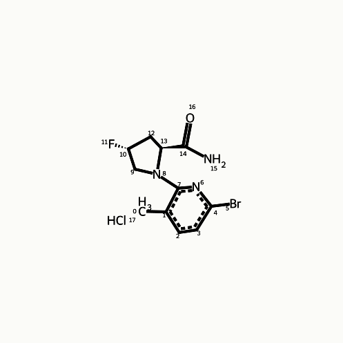 Cc1ccc(Br)nc1N1C[C@H](F)C[C@H]1C(N)=O.Cl